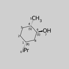 CC(C)[C@@H]1CC[C@H](C)[C@@H](O)C1